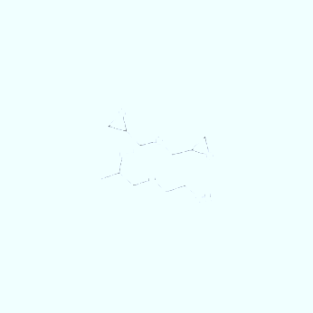 C(OCC1CO1)C1CO1.CC(O)COCCO